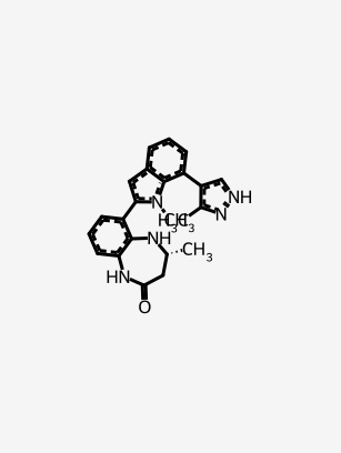 Cc1n[nH]cc1-c1cccc2cc(-c3cccc4c3N[C@H](C)CC(=O)N4)n(C)c12